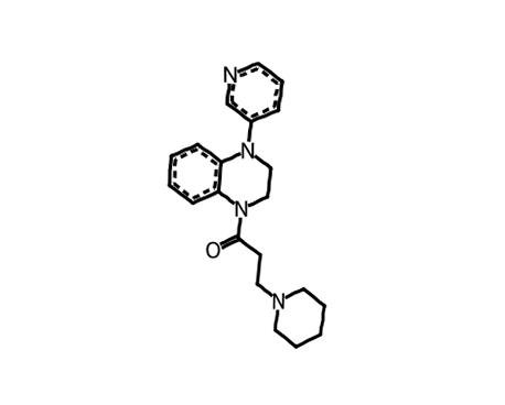 O=C(CCN1CCCCC1)N1CCN(c2cccnc2)c2ccccc21